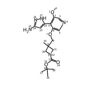 COc1cncc(OCC2(C)CN(C(=O)OC(C)(C)C)C2)c1-c1cc(N)n[nH]1